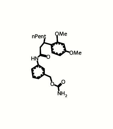 CCCCCC(CC(=O)Nc1cccc(COC(N)=O)c1)c1ccc(OC)cc1OC